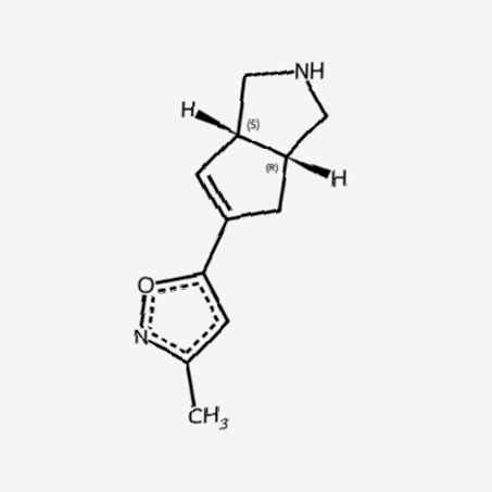 Cc1cc(C2=C[C@@H]3CNC[C@@H]3C2)on1